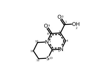 O=C(O)c1cnc2n(c1=O)CCCS2